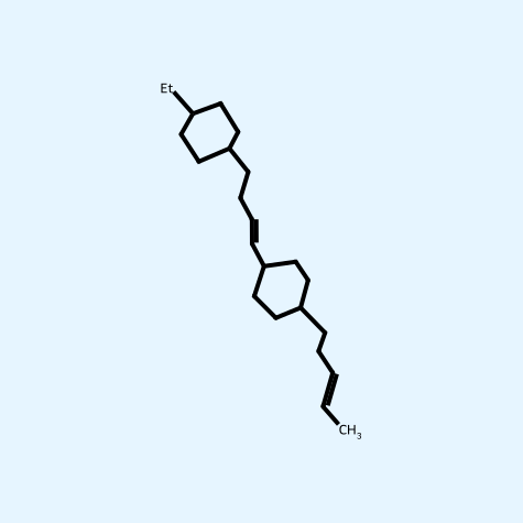 CC=CCCC1CCC(C=CCCC2CCC(CC)CC2)CC1